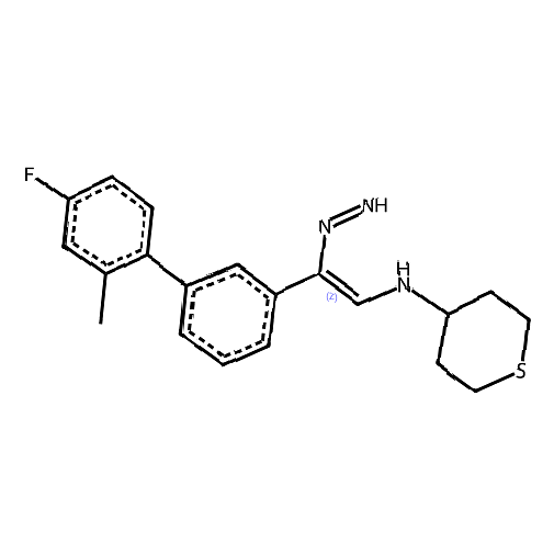 Cc1cc(F)ccc1-c1cccc(/C(=C/NC2CCSCC2)N=N)c1